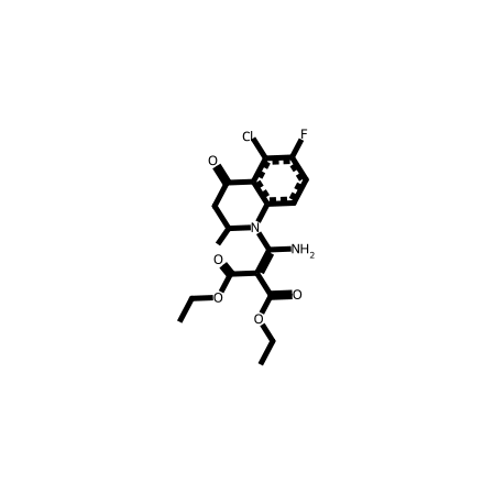 CCOC(=O)C(C(=O)OCC)=C(N)N1c2ccc(F)c(Cl)c2C(=O)CC1C